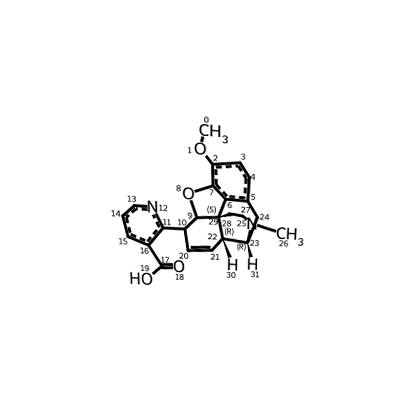 COc1ccc2c3c1OC1C(c4ncccc4C(=O)O)C=C[C@H]4[C@@H](C2)N(C)CC[C@]314